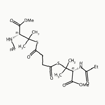 CCCN[C@H](C(=O)OC)C(C)(C)SC(=O)CCC(=O)SC(C)(C)[C@H](NC(=O)CC)C(=O)OC